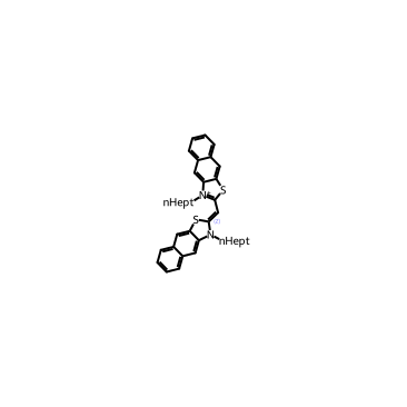 CCCCCCCN1/C(=C/c2sc3cc4ccccc4cc3[n+]2CCCCCCC)Sc2cc3ccccc3cc21